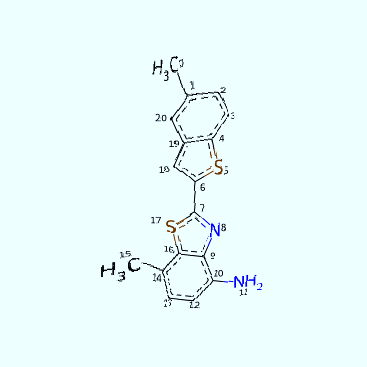 Cc1ccc2sc(-c3nc4c(N)ccc(C)c4s3)cc2c1